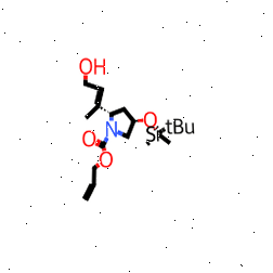 C=CCOC(=O)N1C[C@H](O[Si](C)(C)C(C)(C)C)C[C@H]1/C(C)=C/CO